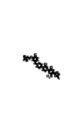 CC[C@H]1CN(c2nc(N)c(-c3nnc(C)o3)nc2Cl)CCN1C1CCN(Cc2ccc(Cl)c(OCCS(C)(=O)=O)c2)CC1